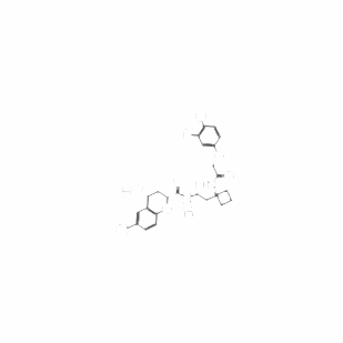 O=C(COc1ccc(Cl)c(F)c1)NC1(CCNC(=O)[C@@H]2C[C@@H](O)c3cc(Cl)ccc3O2)CCC1